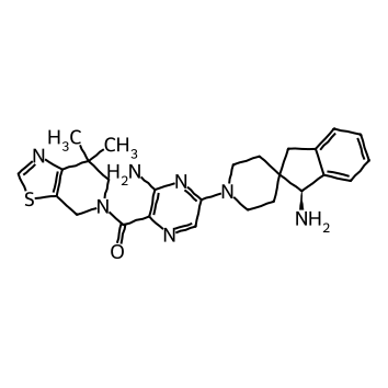 CC1(C)CN(C(=O)c2ncc(N3CCC4(CC3)Cc3ccccc3[C@H]4N)nc2N)Cc2scnc21